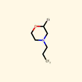 CCC1CN(CCC(F)(F)F)CCO1